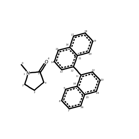 CN1CCCC1=O.c1ccc2c(-c3cccc4ccccc34)cccc2c1